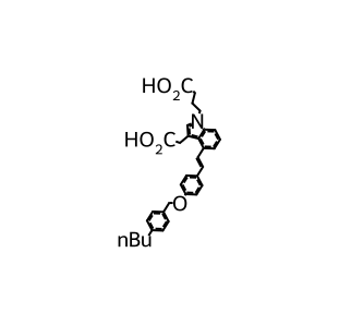 CCCCc1ccc(COc2ccc(C=Cc3cccc4c3c(CC(=O)O)cn4CCCC(=O)O)cc2)cc1